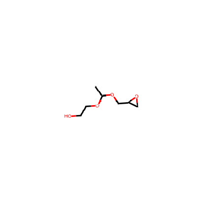 CC(OCCO)OCC1CO1